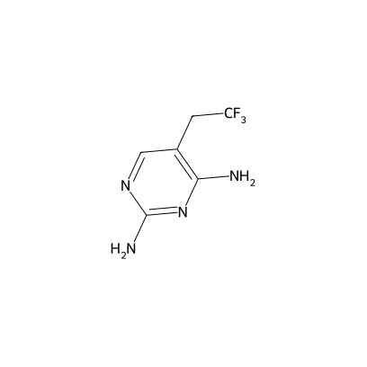 Nc1ncc(CC(F)(F)F)c(N)n1